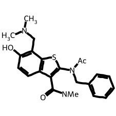 CNC(=O)c1c(N(Cc2ccccc2)C(C)=O)sc2c(CN(C)C)c(O)ccc12